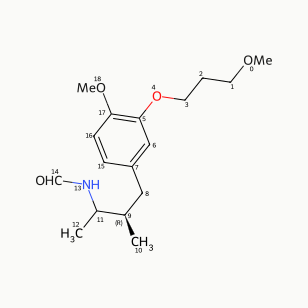 COCCCOc1cc(C[C@@H](C)C(C)NC=O)ccc1OC